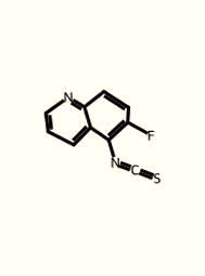 Fc1ccc2ncccc2c1N=C=S